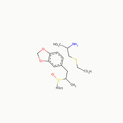 CCCCCCCC[S+]([O-])C(C)Cc1ccc2c(c1)OCO2.NC(CSCC(=O)O)C(=O)O